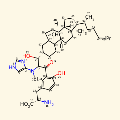 CCN(c1c[nH]cn1)C(C(=O)c1cc(C[C@H](N)C(=O)O)ccc1O)C(O)[C@H]1CC[C@@]2(C)C(CC[C@H]3[C@@H]4CC[C@H]([C@H](C)CCCC(C)C)[C@@]4(C)CC[C@@H]32)C1